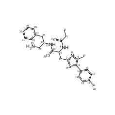 CCC(=O)NC(Cc1nc(C)c(-c2ccc(F)cc2)s1)C(=O)NC(CN)Cc1ccccc1